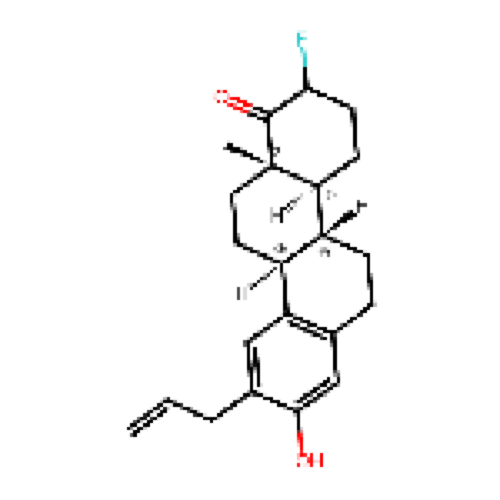 C=CCc1cc2c(cc1O)CC[C@@H]1[C@@H]2CC[C@]2(C)C(=O)C(F)CC[C@@H]12